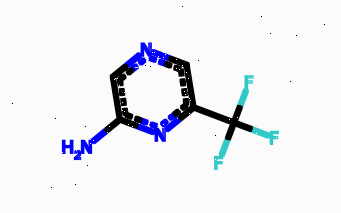 Nc1cncc(C(F)(F)F)n1